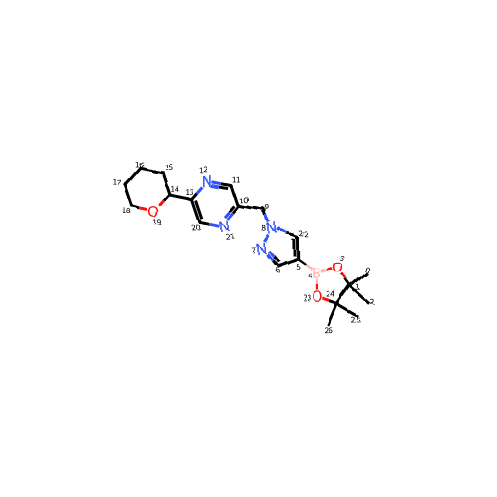 CC1(C)OB(c2cnn(Cc3cnc(C4CCCCO4)cn3)c2)OC1(C)C